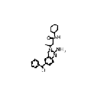 CC(CC(=O)NC1CCCCC1)N1Cc2cc(C(=O)c3ccccc3)ccc2N=C1N